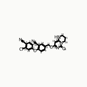 N#Cc1ccc(Oc2ccc(COc3cc4n(c(=O)n3)CCCN4)cc2C#N)cc1Cl